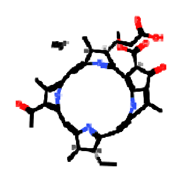 CC[C@H]1c2cc3[n-]c4c(c3C)C(=O)[C@H](C(=O)OC)c4c3nc(cc4[n-]c(cc(n2)[C@@H]1C)c(C(C)=O)c4C)[C@@H](C)[C@@H]3CCC(=O)O.[Mg+2]